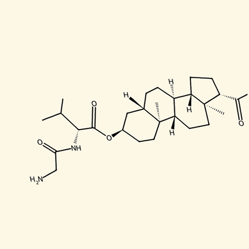 CC(=O)[C@H]1CC[C@H]2[C@@H]3CC[C@H]4C[C@H](OC(=O)[C@H](NC(=O)CN)C(C)C)CC[C@]4(C)[C@H]3CC[C@]12C